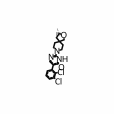 C[C@H]1CC2(CCN(c3ncc(-c4cccc(Cl)c4Cl)c(=O)[nH]3)CC2)CO1